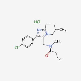 CC(C)CC(=O)N(C)Cc1c(-c2ccc(Cl)cc2)nc2n1CC(C)CC2.Cl